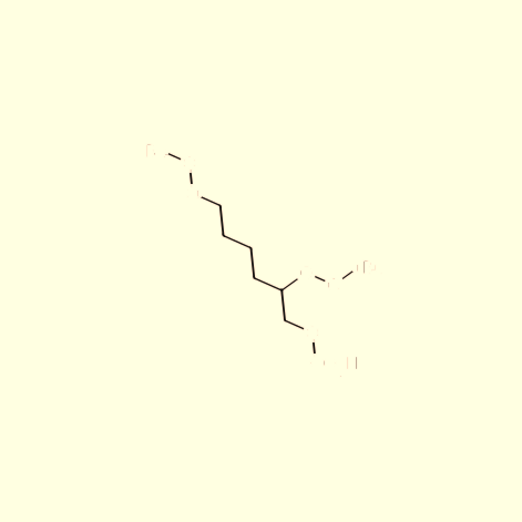 CC(C)(C)OOCCCCC(COC(=O)O)OOC(C)(C)C